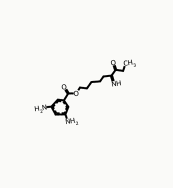 CCC(=O)C(=N)CCCCCOC(=O)c1cc(N)cc(N)c1